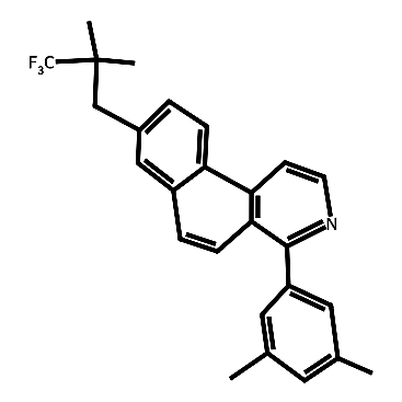 Cc1cc(C)cc(-c2nccc3c2ccc2cc(CC(C)(C)C(F)(F)F)ccc23)c1